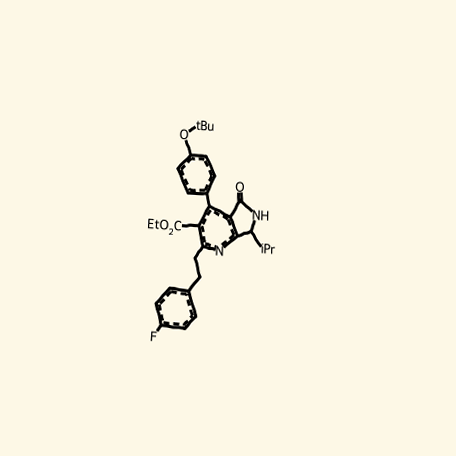 CCOC(=O)c1c(CCc2ccc(F)cc2)nc2c(c1-c1ccc(OC(C)(C)C)cc1)C(=O)NC2C(C)C